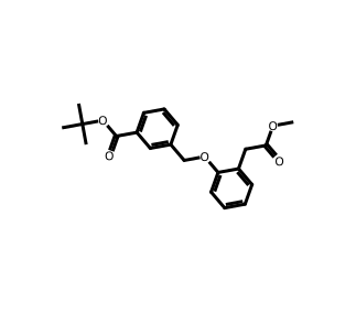 COC(=O)Cc1ccccc1OCc1cccc(C(=O)OC(C)(C)C)c1